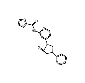 O=C(Nc1cc(N2CC(c3ccccc3)CC2=O)ccn1)c1cccs1